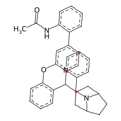 CC(=O)Nc1ccccc1-c1ccc2c(c1)Oc1ccccc1C2C1CC2CCC(C1)N2Cc1ccccn1